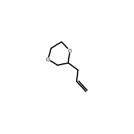 C=C[CH]C1COCCO1